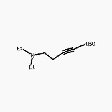 CCN(CC)CCC#CC(C)(C)C